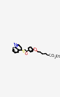 CCOC(=O)CCCCCOc1ccc(C(=O)CSc2ccnc3ccccc23)cc1